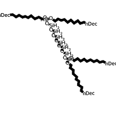 CCCCCCCCCCCCCCCCCCCCO[SiH](OCCCCCCCCCCCCCCCCCCCC)O[SiH2]O[SiH2]O[SiH2]O[SiH2]O[SiH2]O[SiH2]O[SiH](OCCCCCCCCCCCCCCCCCCCC)OCCCCCCCCCCCCCCCCCCCC